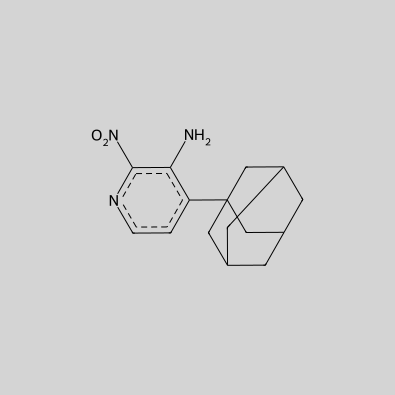 Nc1c(C23CC4CC(CC(C4)C2)C3)ccnc1[N+](=O)[O-]